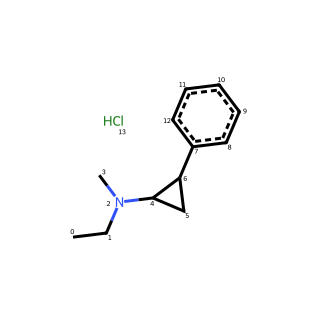 CCN(C)C1CC1c1ccccc1.Cl